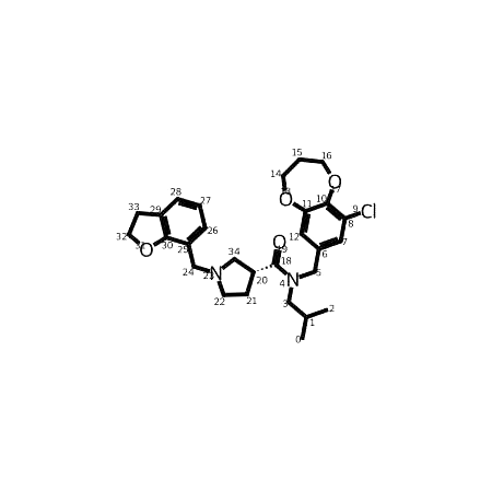 CC(C)CN(Cc1cc(Cl)c2c(c1)OCCCO2)C(=O)[C@@H]1CCN(Cc2cccc3c2OCC3)C1